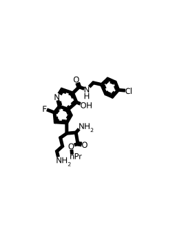 CCCOC(=O)C(N)C(CCCN)c1cc(F)c2ncc(C(=O)NCc3ccc(Cl)cc3)c(O)c2c1